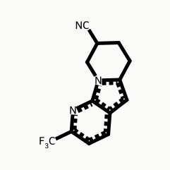 N#CC1CCc2cc3ccc(C(F)(F)F)nc3n2C1